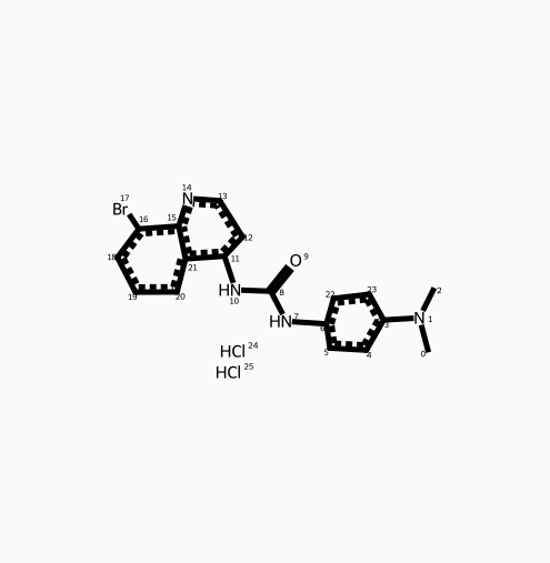 CN(C)c1ccc(NC(=O)Nc2ccnc3c(Br)cccc23)cc1.Cl.Cl